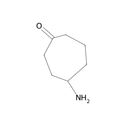 NC1CCCC(=O)CC1